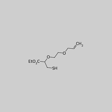 C=CCOCCOC(CS)C(=O)OCC